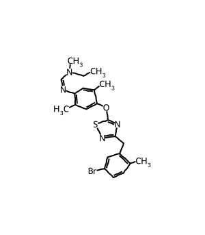 CCN(C)/C=N\c1cc(C)c(Oc2nc(Cc3cc(Br)ccc3C)ns2)cc1C